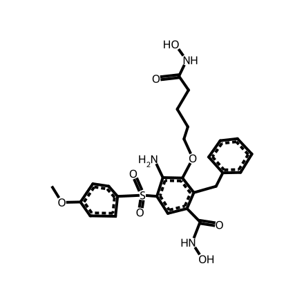 COc1ccc(S(=O)(=O)c2cc(C(=O)NO)c(Cc3ccccc3)c(OCCCCC(=O)NO)c2N)cc1